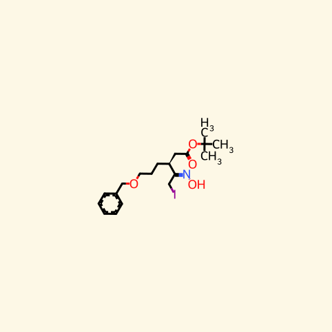 CC(C)(C)OC(=O)C[C@H](CCCOCc1ccccc1)/C(CI)=N/O